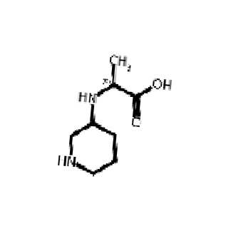 C[C@H](NC1CCCNC1)C(=O)O